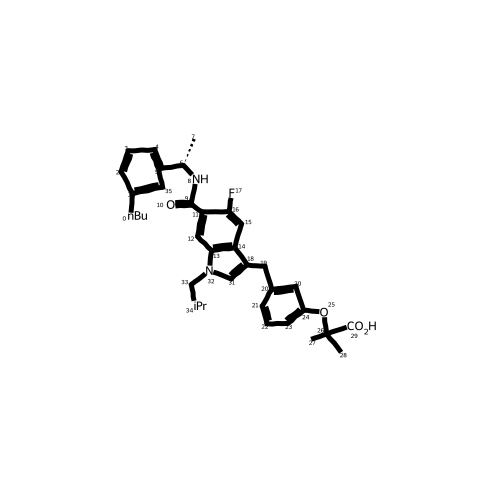 CCCCc1cccc([C@H](C)NC(=O)c2cc3c(cc2F)c(Cc2cccc(OC(C)(C)C(=O)O)c2)cn3CC(C)C)c1